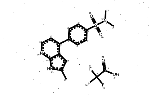 Cc1cc2c(-c3ccc(S(=O)(=O)N(C)C)cc3)ccnc2[nH]1.O=C(O)C(F)(F)F